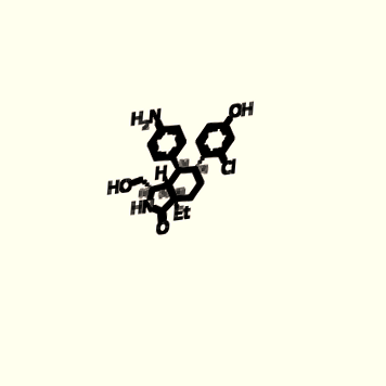 CC[C@@]12CC[C@@H](c3ccc(O)cc3Cl)[C@H](c3ccc(N)cc3)[C@@H]1[C@@H](CO)NC2=O